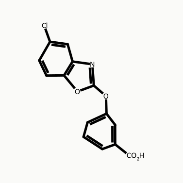 O=C(O)c1cccc(Oc2nc3cc(Cl)ccc3o2)c1